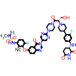 CCN(C)S(=O)(=O)Nc1ccc(F)c(Oc2ccc3ncn(-c4cnc(N5CCN(C(=O)[C@H](CO)N6CCC(c7ccc(N[C@H]8CCC(=O)NC8=O)cc7F)CC6)CC5)nc4)c(=O)c3c2)c1C#N